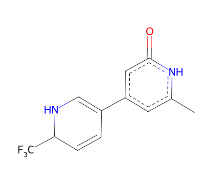 Cc1cc(C2=CNC(C(F)(F)F)C=C2)cc(=O)[nH]1